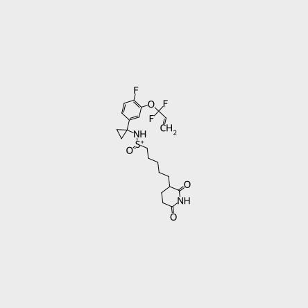 C=CC(F)(F)Oc1cc(C2(N[S+]([O-])CCCCCC3CCC(=O)NC3=O)CC2)ccc1F